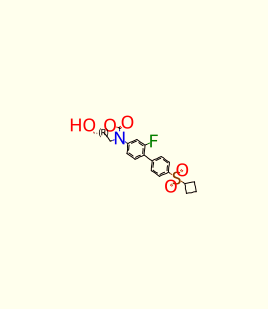 O=C1O[C@@H](CO)CN1c1ccc(-c2ccc(S(=O)(=O)C3CCC3)cc2)c(F)c1